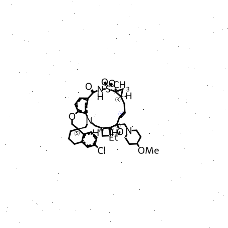 CCO[C@@]1(CN2CCC(OC)CC2)/C=C/C[C@@H]2C[C@@]2(C)S(=O)(=O)NC(=O)c2ccc3c(c2)N(C[C@@H]2CC[C@H]21)C[C@@]1(CCCc2cc(Cl)ccc21)CO3